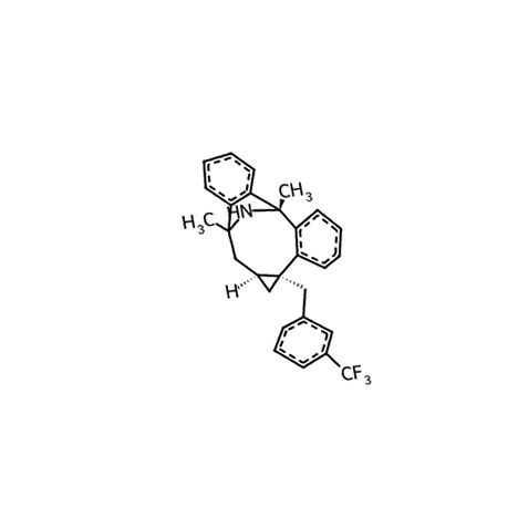 CC12C[C@@H]3C[C@]3(Cc3cccc(C(F)(F)F)c3)c3ccccc3[C@](C)(N1)c1ccccc12